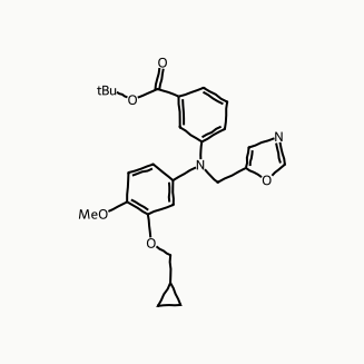 COc1ccc(N(Cc2cnco2)c2cccc(C(=O)OC(C)(C)C)c2)cc1OCC1CC1